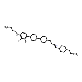 CCCCOc1ccc(C2CCC(C3CCC(CC/C=C/C4CCC(CCC)CC4)CC3)CC2)c(F)c1F